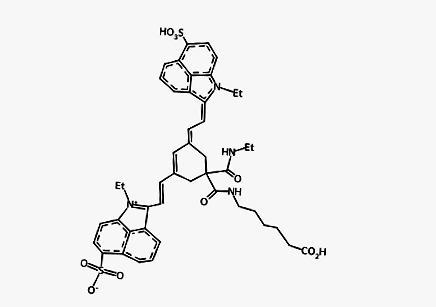 CCNC(=O)C1(C(=O)NCCCCCC(=O)O)CC(/C=C/C2=[N+](CC)c3ccc(S(=O)(=O)[O-])c4cccc2c34)=CC(=C/C=c2\c3cccc4c(S(=O)(=O)O)ccc(c43)n2CC)/C1